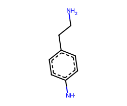 [NH]c1ccc(CCN)cc1